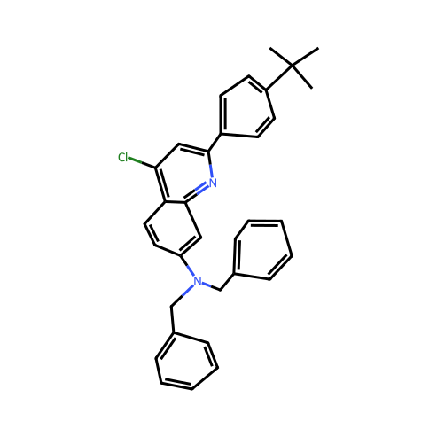 CC(C)(C)c1ccc(-c2cc(Cl)c3ccc(N(Cc4ccccc4)Cc4ccccc4)cc3n2)cc1